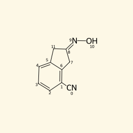 N#Cc1cccc2c1CC(=NO)C2